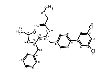 COCC(=O)N[C@H](Cc1ccc(-c2cc(Cl)cc(Cl)c2)cc1)[C@H]1OC(C)O[C@@H]1Cc1ccccc1